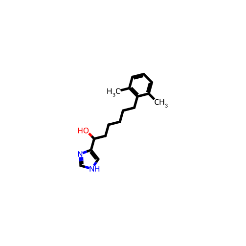 Cc1cccc(C)c1CCCCCC(O)c1c[nH]cn1